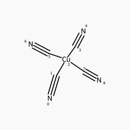 N#[C][Cu]([C]#N)([C]#N)[C]#N